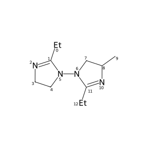 CCC1=NCCN1N1CC(C)N=C1CC